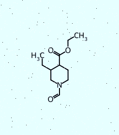 CCOC(=O)C1CCN(C=O)CC1CC